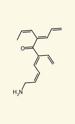 C=C/C=C(\C=C/C)C(=O)/C(C=C)=C/C=C\CN